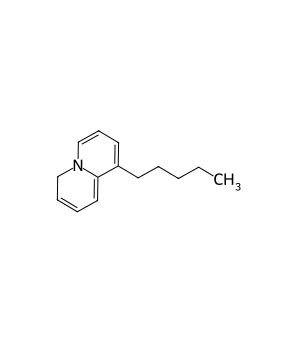 CCCCCC1=CC=CN2CC=CC=C12